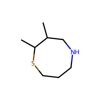 CC1CNCCCSC1C